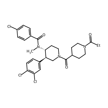 CCC(=O)N1CCC(C(=O)N2CC[C@@H](N(C)C(=O)c3ccc(Cl)cc3)[C@H](c3ccc(Cl)c(Cl)c3)C2)CC1